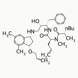 C=CCO[C@H]1C[C@@H](NC[C@H](O)[C@H](Cc2ccccc2)NC(=O)[C@H](CC=C)N(C)C(=O)[C@@H](C)CCCC)c2cc(C)cc(C)c21